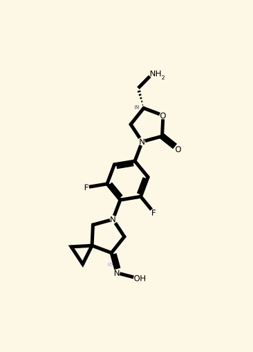 NC[C@H]1CN(c2cc(F)c(N3C/C(=N\O)C4(CC4)C3)c(F)c2)C(=O)O1